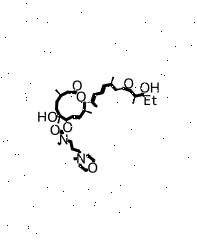 CC[C@H](O)[C@@H](C)[C@H]1O[C@@H]1C[C@H](C)/C=C/C=C(\C)[C@H]1OC(=O)C[C@H](C)CC[C@@](C)(O)[C@@H](OC(=O)N(C)CCC[N+]2(C)CCOCC2)/C=C/[C@@H]1C